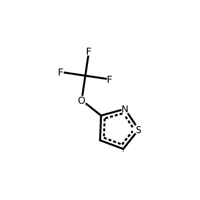 FC(F)(F)Oc1c[c]sn1